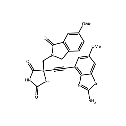 COc1ccc2c(c1)C(=O)N(C[C@@]1(C#Cc3cc(OC)cc4sc(N)nc34)NC(=O)NC1=O)C2